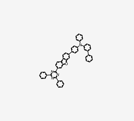 c1ccc(-c2cccc(N(c3ccccc3)c3ccc(-c4ccc5c(c4)oc4cc(-c6nc(-c7ccccc7)nc(-c7ccccc7)n6)ccc45)cc3)c2)cc1